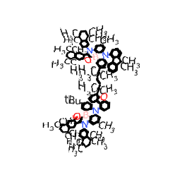 Cc1cc2c3c(c1)N(c1ccc4c(c1)C(C)(C)CCC4(C)C)c1c(oc4cc5c(cc14)C(C)(C)CCC5(C)C)B3c1cc(C(C)(C)CCC(C)(C)c3cccc4c3oc3cccc(N5c6ccc(C(C)(C)C)cc6B6c7oc8cc9c(cc8c7N(c7ccc8c(c7)C(C)(C)CCC8(C)C)c7cc(C)cc5c76)C(C)(C)CCC9(C)C)c34)ccc1N2c1cccc2c1-c1ccccc1C2(C)C